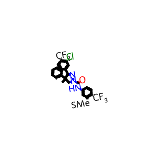 CSc1cc(NC(=O)N2CC(C)(c3ccccc3)C(c3ccc(C(F)(F)F)c(Cl)c3)=N2)ccc1C(F)(F)F